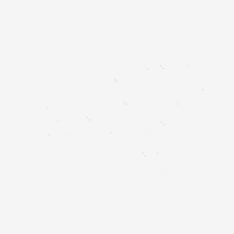 N#CC1(NS(=O)(=O)c2cc(N3CCC4(CC3)COC4)c3cnc(-c4nnc(C(F)(F)F)s4)n3c2)CC1